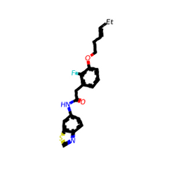 CC/C=C/CCOc1cccc(CC(=O)Nc2ccc3ncsc3c2)c1F